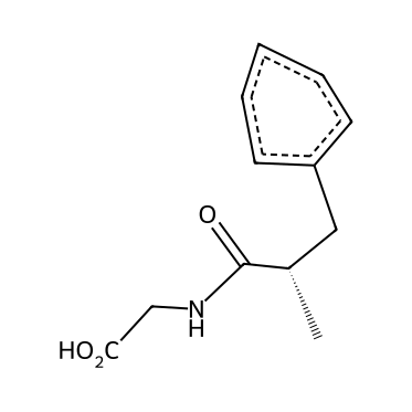 C[C@@H](Cc1ccccc1)C(=O)NCC(=O)O